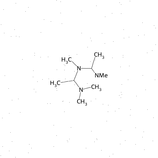 CNC(C)N(C)C(C)N(C)C